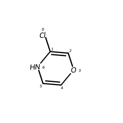 ClC1=COC=CN1